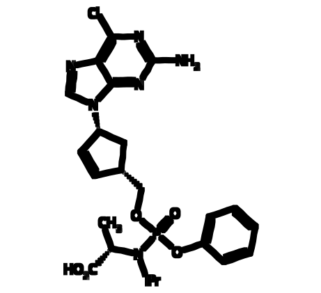 CC(C)N([C@@H](C)C(=O)O)P(=O)(OC[C@@H]1C=C[C@H](n2cnc3c(Cl)nc(N)nc32)C1)Oc1ccccc1